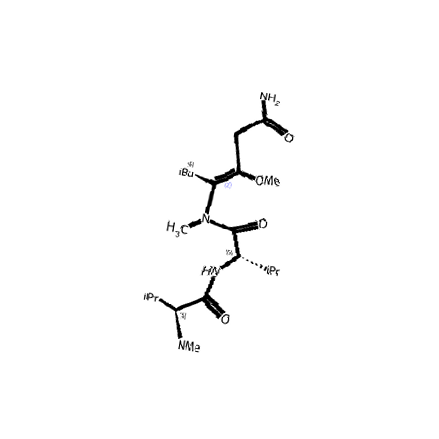 CC[C@H](C)/C(=C(\CC(N)=O)OC)N(C)C(=O)[C@@H](NC(=O)[C@@H](NC)C(C)C)C(C)C